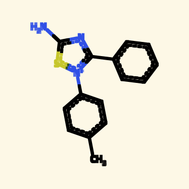 Cc1ccc(-[n+]2sc(N)nc2-c2ccccc2)cc1